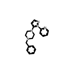 c1ccc(CN2CCN(c3ccnn3-c3ccccn3)CC2)cc1